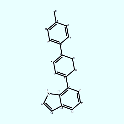 Cc1ccc(C2=CC=C(c3cccc4ccsc34)CC2)cc1